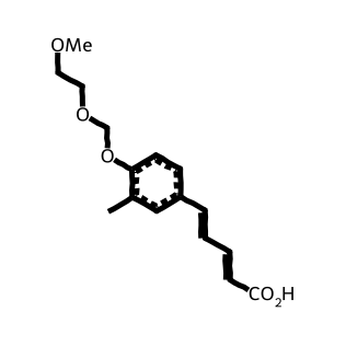 COCCOCOc1ccc(/C=C/C=C/C(=O)O)cc1C